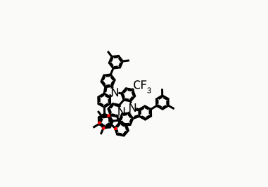 Cc1cc(C)cc(-c2ccc3c4ccc(-c5cc(C)cc(C)c5)cc4n(-c4cc(C(F)(F)F)cc(-n5c6cc(-c7cc(C)cc(C)c7)ccc6c6ccc(-c7cc(C)cc(C)c7)cc65)c4-c4cccc(-c5ccccc5)n4)c3c2)c1